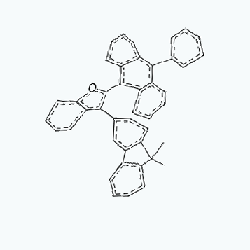 CC1(C)c2ccccc2-c2cc(-c3c(-c4c5ccccc5c(-c5ccccc5)c5ccccc45)oc4ccccc34)ccc21